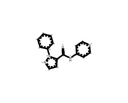 O=C(Nc1ccncc1)c1ccnn1-c1ccccc1